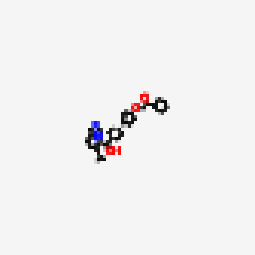 O=C(COc1ccc([C@H]2CC[C@H]([C@H](O)c3c(C4CC4)ccc4cncn34)CC2)cc1)c1ccccc1